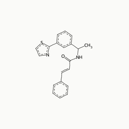 CC(NC(=O)/C=C/c1ccccc1)c1cccc(-c2nccs2)c1